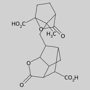 CC1(CC2C3CC4C2OC(=O)C4C3C(=O)O)C2CCC1(C(=O)O)OC2=O